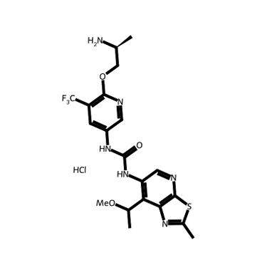 COC(C)c1c(NC(=O)Nc2cnc(OC[C@H](C)N)c(C(F)(F)F)c2)cnc2sc(C)nc12.Cl